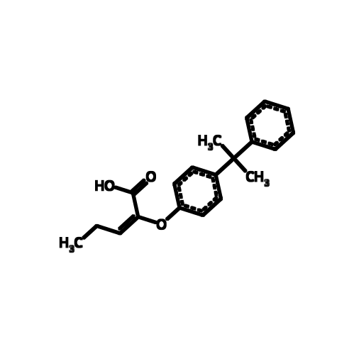 CC/C=C(/Oc1ccc(C(C)(C)c2ccccc2)cc1)C(=O)O